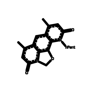 CCCCCn1c(=O)cc(C)c2cc3c(C)cc(=O)n4c3c(c21)OC4